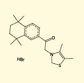 Br.CC1=C(C)N(CC(=O)c2ccc3c(c2)C(C)(C)CCC3(C)C)CS1